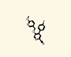 COc1ccc(COc2cnc(C#N)cc2-c2ccc(F)cc2)cn1